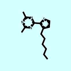 CCCCCCc1ccsc1-c1nc(C)nc(C)n1